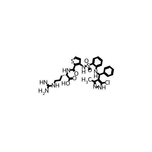 Cc1n[nH]c(Cl)c1C(Nc1ccccc1S(=O)(=O)Nc1ccsc1C(=O)N[C@@H](CCCNC(=N)N)C(=O)O)c1ccccc1